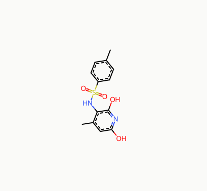 Cc1ccc(S(=O)(=O)Nc2c(C)cc(O)nc2O)cc1